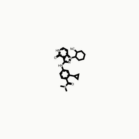 CN(C)C(=O)c1ccc(Nc2nn(C3CCCCC3C#N)c3cc[nH]c(=O)c23)cc1C1CC1